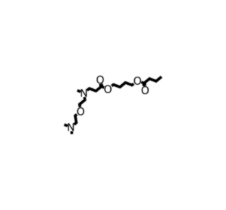 CCCC(=O)OCCCCOC(=O)CCN(C)CCOCCN(C)C